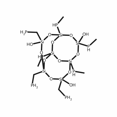 CP[Si]1(O)O[Si]2(PC)O[Si](O)(CP)O[Si]3(CP)O[Si](O)(CP)O[Si](PC)(O1)O[Si](PC)(O3)O2